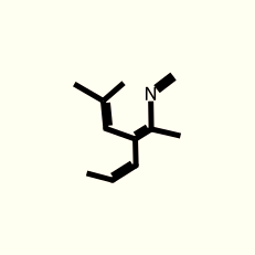 C=N/C(C)=C(C=C(C)C)/C=C\C